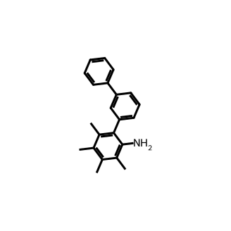 Cc1c(C)c(C)c(-c2cccc(-c3ccccc3)c2)c(N)c1C